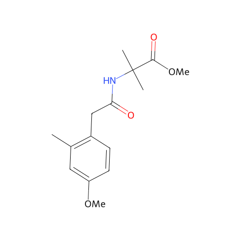 COC(=O)C(C)(C)NC(=O)Cc1ccc(OC)cc1C